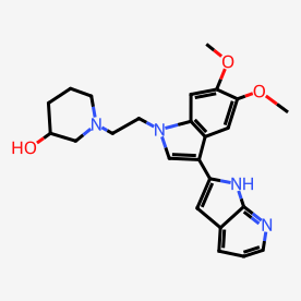 COc1cc2c(-c3cc4cccnc4[nH]3)cn(CCN3CCCC(O)C3)c2cc1OC